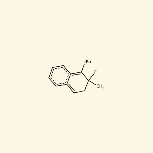 CC(C)(C)C1=c2ccccc2=CCC1(C)F